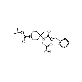 CC(C)(C)OC(=O)N1CCC(C)(N(CC(=O)O)C(=O)OCc2ccccc2)CC1